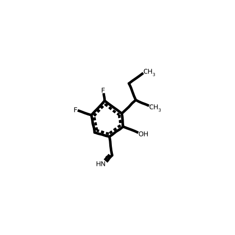 CCC(C)c1c(O)c(C=N)cc(F)c1F